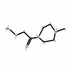 CC(C)SCC(=O)N1CCN(C)CC1